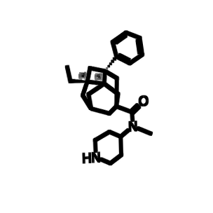 CC[C@]12CC3CC4(C(=O)N(C)C5CCNCC5)CC1(C3)[C@](c1ccccc1)(C4)C2